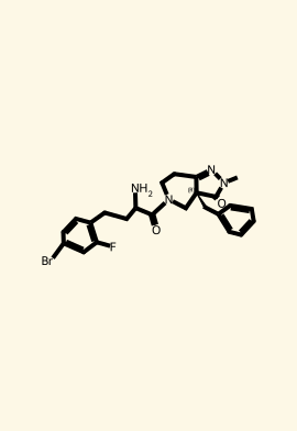 CN1N=C2CCN(C(=O)C(N)CCc3ccc(Br)cc3F)C[C@@]2(Cc2ccccc2)C1=O